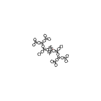 FC(F)(F)C(c1ccc(N(c2ccc(Cl)cc2)c2ccc(N(c3ccc(N(c4ccccc4)c4ccccc4)cc3)c3ccc(N(c4ccccc4)c4ccccc4)cc3)cc2)cc1)(c1ccc(N(c2ccc(Cl)cc2)c2ccc(N(c3ccc(N(c4ccccc4)c4ccccc4)cc3)c3ccc(N(c4ccccc4)c4ccccc4)cc3)cc2)cc1)C(F)(F)F